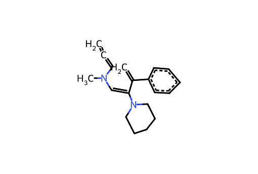 C=C=CN(C)/C=C(\C(=C)c1ccccc1)N1CCCCC1